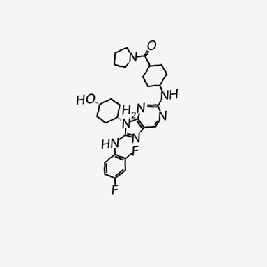 C=C(/N=C\c1nc(Nc2ccc(F)cc2F)n([C@H]2CC[C@@H](O)CC2)c1N)NC1CCC(C(=O)N2CCCC2)CC1